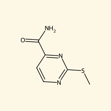 CSc1nccc(C(N)=O)n1